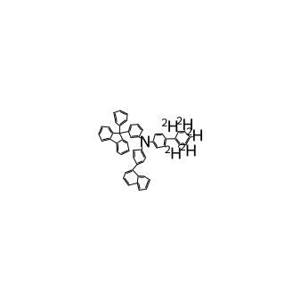 [2H]c1c([2H])c([2H])c(-c2ccc(N(c3ccc(-c4cccc5ccccc45)cc3)c3cccc(C4(c5ccccc5)c5ccccc5-c5ccccc54)c3)cc2)c([2H])c1[2H]